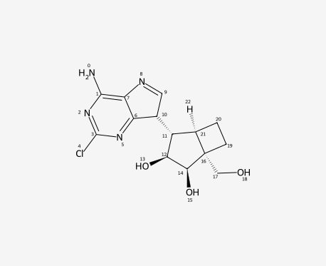 Nc1nc(Cl)nc2c1N=CC2[C@H]1[C@H](O)[C@H](O)[C@]2(CO)CC[C@H]12